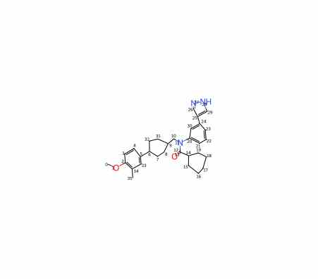 COc1ccc(C2CCC(CN(C(=O)C3CCCCC3)c3cccc(-c4cn[nH]c4)c3)CC2)cc1C